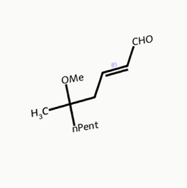 CCCCCC(C)(C/C=C/C=O)OC